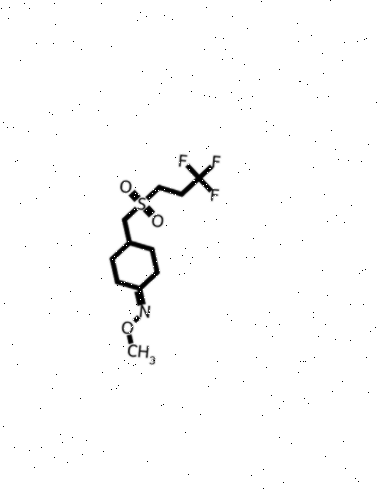 CON=C1CCC(CS(=O)(=O)CCC(F)(F)F)CC1